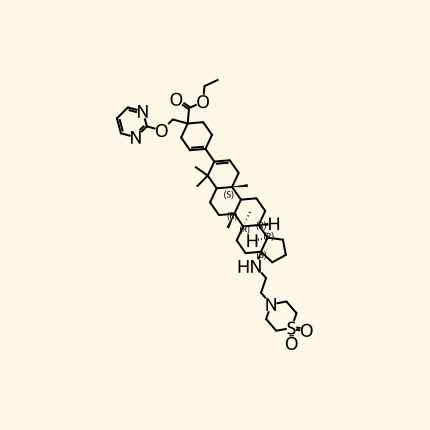 CCOC(=O)C1(COc2ncccn2)CC=C(C2=CC[C@@]3(C)C(CC[C@]4(C)C3CC[C@@H]3[C@H]5CCC[C@]5(NCCN5CCS(=O)(=O)CC5)CC[C@]34C)C2(C)C)CC1